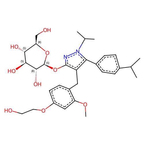 COc1cc(OCCO)ccc1Cc1c(O[C@@H]2O[C@H](CO)[C@@H](O)[C@H](O)[C@H]2O)nn(C(C)C)c1-c1ccc(C(C)C)cc1